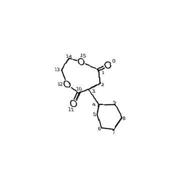 O=C1CC(C2CCCCC2)C(=O)OCCO1